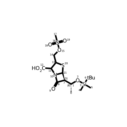 C[C@@H](O[Si](C)(C)C(C)(C)C)[C@H]1C(=O)N2C(C(=O)O)C(COS(C)(=O)=O)SC12